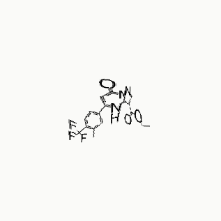 CCOC(=O)c1cnn2c(=O)cc(-c3ccc(C(F)(F)F)c(C)c3)[nH]c12